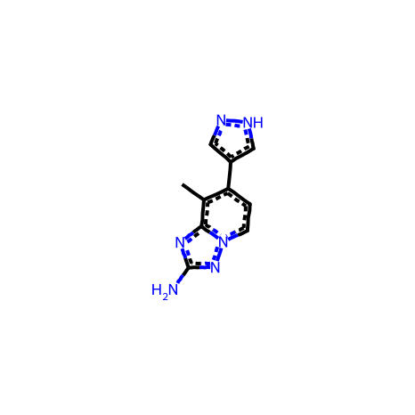 Cc1c(-c2cn[nH]c2)ccn2nc(N)nc12